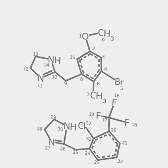 COc1cc(Br)c(C)c(CC2=NCCN2)c1.FC(F)(F)c1cccc(CC2=NCCN2)c1Cl